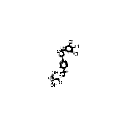 O=C(C1C(O)SC1O)N1CC(F)(c2ccc(C3=NOC(c4cc(Cl)c(Cl)c(Cl)c4)(C(F)(F)F)C3)cc2)C1